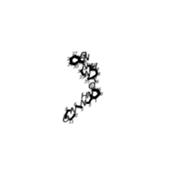 c1cc(CNCCN2CCOCC2)nc(OC[C@@H]2CC[C@H]3CN(c4noc5ccccc45)CCN3C2)c1